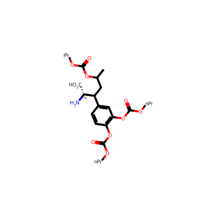 CCCOC(=O)Oc1ccc(C(CC(C)OC(=O)OC(C)C)[C@H](N)C(=O)O)cc1OC(=O)OCCC